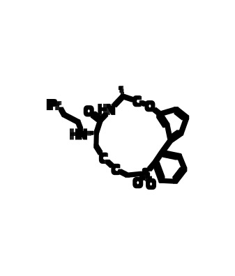 CC(C)CCN[C@H]1CCCCS(=O)(=O)c2ccccc2-c2cccc(c2)OC[C@@H](C)NC1=O